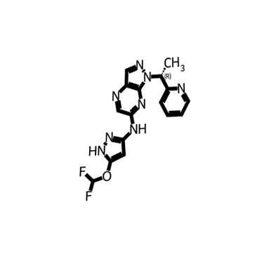 C[C@H](c1ccccn1)n1ncc2ncc(Nc3cc(OC(F)F)[nH]n3)nc21